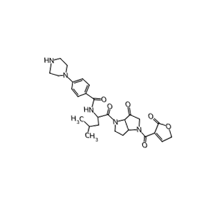 CC(C)CC(NC(=O)c1ccc(N2CCNCC2)cc1)C(=O)N1CCC2C1C(=O)CN2C(=O)C1=CCOC1=O